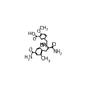 COc1ccc(CNC(Cc2c(C)cc(C(N)=O)cc2C)C(N)=O)cc1C(=O)O